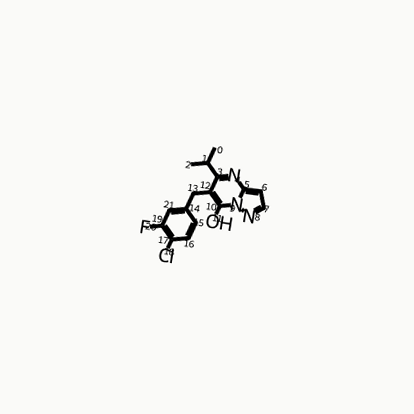 CC(C)c1nc2ccnn2c(O)c1Cc1ccc(Cl)c(F)c1